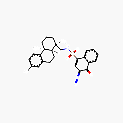 CC(C)c1ccc2c(c1)CC[C@H]1[C@@](C)(CNS(=O)(=O)C3=CC(=[N+]=[N-])C(=O)c4ccccc43)CCC[C@]21C